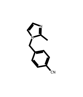 Cc1nccn1Cc1ccc(C#N)cc1